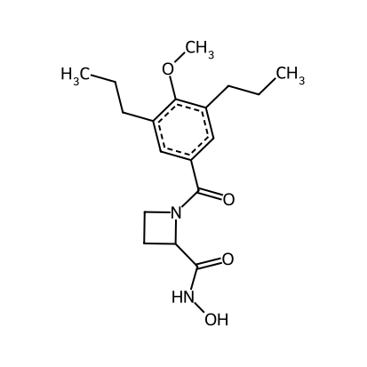 CCCc1cc(C(=O)N2CCC2C(=O)NO)cc(CCC)c1OC